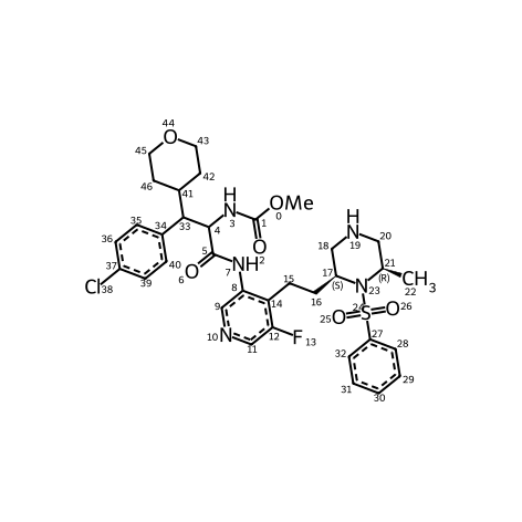 COC(=O)NC(C(=O)Nc1cncc(F)c1CC[C@H]1CNC[C@@H](C)N1S(=O)(=O)c1ccccc1)C(c1ccc(Cl)cc1)C1CCOCC1